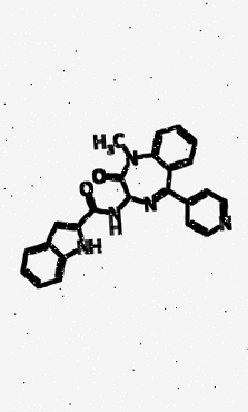 CN1C(=O)C(NC(=O)c2cc3ccccc3[nH]2)N=C(c2ccncc2)c2ccccc21